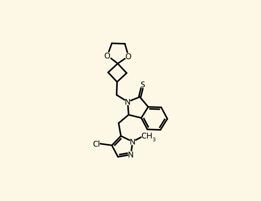 Cn1ncc(Cl)c1CC1c2ccccc2C(=S)N1CC1CC2(C1)OCCO2